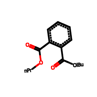 CCCOC(=O)c1ccccc1C(=O)OCC(C)C